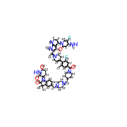 CNc1cc(=O)n(-c2ccnc3c2cc([C@H](C)N2CC=C(c4c(C)cc(C(=O)N5CCC(CN6CCN(Cc7ccc8c(c7)C(C)(C)C(=O)N8[C@@H]7CCC(=O)NC7=O)CC6)CC5)cc4F)CC2)n3C)cc1F